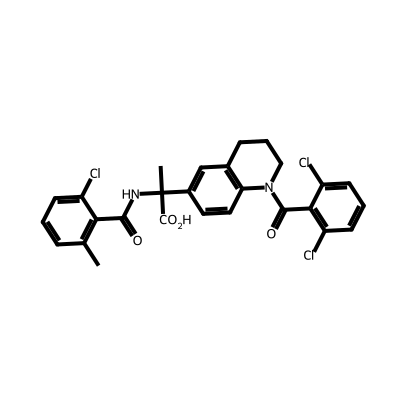 Cc1cccc(Cl)c1C(=O)NC(C)(C(=O)O)c1ccc2c(c1)CCCN2C(=O)c1c(Cl)cccc1Cl